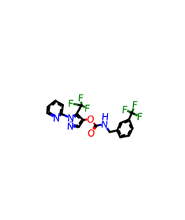 O=C(NCc1cccc(C(F)(F)F)c1)Oc1cnn(-c2ccccn2)c1C(F)(F)F